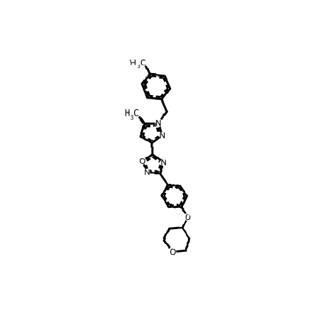 Cc1ccc(Cn2nc(-c3nc(-c4ccc(OC5CCOCC5)cc4)no3)cc2C)cc1